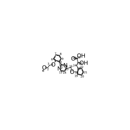 COCCOc1ccccc1-c1nccc(COc2ccccc2CC(O)C(=O)O)n1